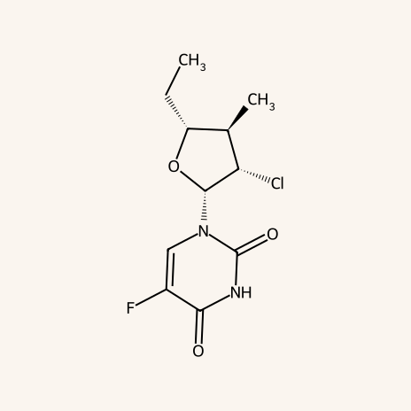 CC[C@H]1O[C@@H](n2cc(F)c(=O)[nH]c2=O)[C@@H](Cl)[C@@H]1C